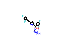 N=N/N=C\NCC(O)(c1ccc(F)cc1F)C(F)(F)c1ccc(C#Cc2ccc(F)cc2F)cn1